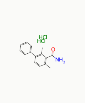 Cc1ccc(-c2ccccc2)c(C)c1C(N)=O.Cl.Cl